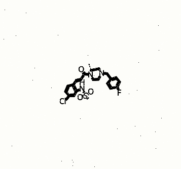 C[C@@H]1CN(Cc2ccc(F)cc2)CCN1C(=O)C=Cc1ccc(Cl)cc1NS(C)(=O)=O